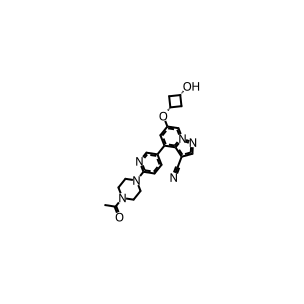 CC(=O)N1CCN(c2ccc(-c3cc(O[C@H]4C[C@@H](O)C4)cn4ncc(C#N)c34)cn2)CC1